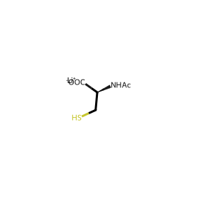 CC(=O)N[C@@H](CS)C(=O)[O-].[Li+]